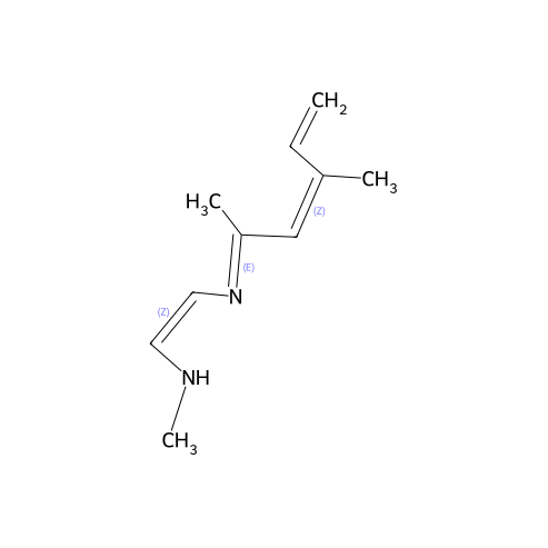 C=C\C(C)=C/C(C)=N/C=C\NC